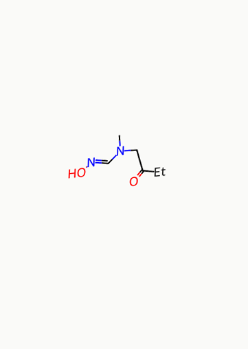 CCC(=O)CN(C)C=NO